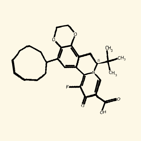 CC(C)(C)[C@@H]1Cc2c(cc(C3CCCCCCCC3)c3c2OCCO3)-c2c(F)c(=O)c(C(=O)O)cn21